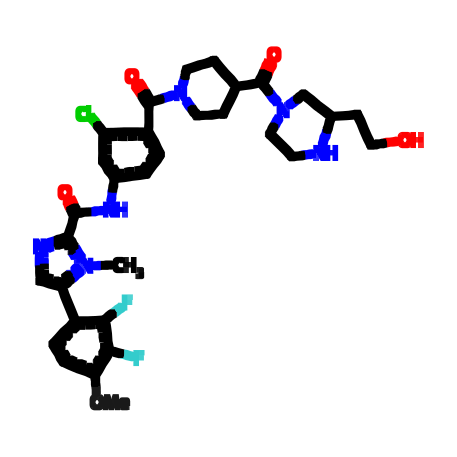 COc1ccc(-c2cnc(C(=O)Nc3ccc(C(=O)N4CCC(C(=O)N5CCNC(CCO)C5)CC4)c(Cl)c3)n2C)c(F)c1F